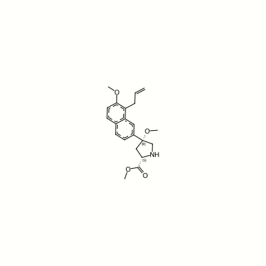 C=CCc1c(OC)ccc2ccc([C@@]3(OC)CN[C@H](C(=O)OC)C3)cc12